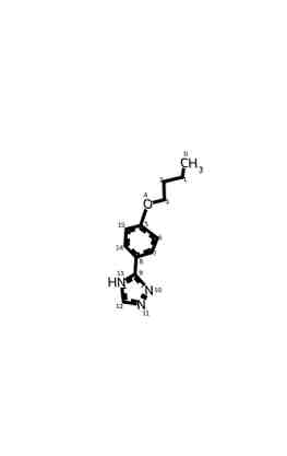 CCCCOc1ccc(-c2nnc[nH]2)cc1